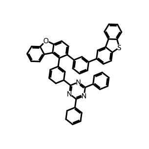 C1=CCCC(c2nc(-c3ccccc3)nc(C3C=C(c4c(-c5cccc(-c6ccc7sc8ccccc8c7c6)c5)ccc5oc6ccccc6c45)C=CC3)n2)=C1